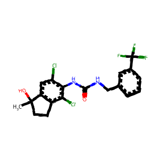 CC1(O)CCc2c1cc(Cl)c(NC(=O)NCc1cccc(C(F)(F)F)c1)c2Cl